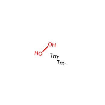 OO.[Tm].[Tm]